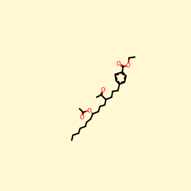 CCCCCCCC(CCCC(CCCc1ccc(C(=O)OCC)cc1)C(C)=O)OC(C)=O